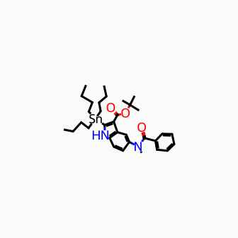 CCC[CH2][Sn]([CH2]CCC)([CH2]CCC)[c]1[nH]c2ccc(N(C)C(=O)c3ccccc3)cc2c1C(=O)OC(C)(C)C